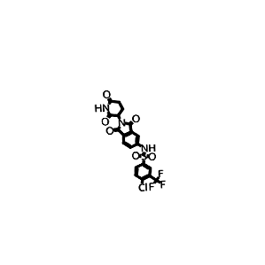 O=C1CCC(N2C(=O)c3ccc(NS(=O)(=O)c4ccc(Cl)c(C(F)(F)F)c4)cc3C2=O)C(=O)N1